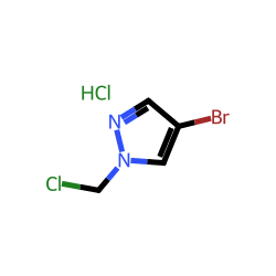 Cl.ClCn1cc(Br)cn1